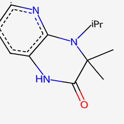 CC(C)N1c2n[c]ccc2NC(=O)C1(C)C